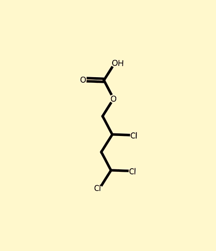 O=C(O)OCC(Cl)CC(Cl)Cl